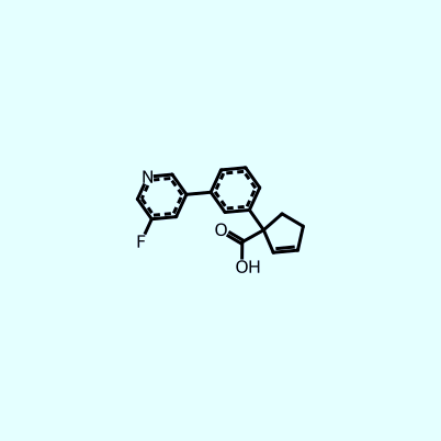 O=C(O)C1(c2cccc(-c3cncc(F)c3)c2)C=CCC1